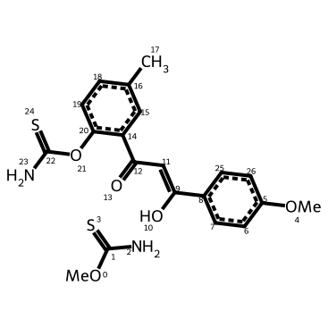 COC(N)=S.COc1ccc(C(O)=CC(=O)c2cc(C)ccc2OC(N)=S)cc1